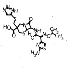 CC(C)ON=C(C(=O)NC1C(=O)N2CC(CSc3cnn[nH]3)(C(=O)O)CS[C@H]12)c1csc(N)n1